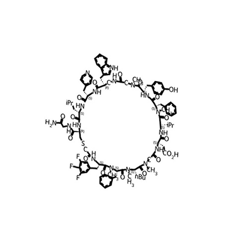 CCCC[C@H]1C(=O)N(C)CC(=O)N[C@@H](CC(=O)O)C(=O)N[C@@H](C(C)C)C(=O)N(C)[C@@H](Cc2ccccc2)C(=O)N[C@@H](Cc2ccc(O)cc2)C(=O)N(C)CC(=O)NC[C@@H](Cc2c[nH]c3ccccc23)C(=O)N[C@@H](Cc2ccncc2)C(=O)N[C@@H](CC(C)C)C(=O)N[C@H](C(=O)NCC(N)=O)CSCC(=O)N[C@@H](Cc2cc(F)c(F)c(F)c2)C(=O)N(C)[C@@H](Cc2ccccc2)C(=O)N1C